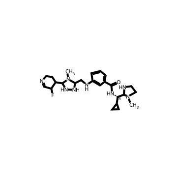 CN1CCNC1[C@@H](NC(=O)c1cccc(NCC2NNC(C3CCN=CC3F)N2C)c1)C1CC1